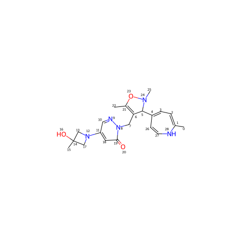 CC1=CC=C(C2C(Cn3ncc(N4CC(C)(O)C4)cc3=O)=C(C)ON2C)C=CN1